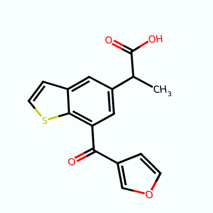 CC(C(=O)O)c1cc(C(=O)c2ccoc2)c2sccc2c1